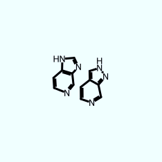 c1cc2[nH]cnc2cn1.c1cc2c[nH]nc2cn1